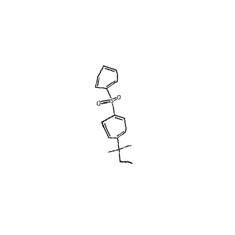 CCC(C)(C)c1ccc(S(=O)(=O)c2ccccc2)cc1